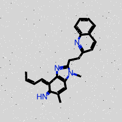 C/C=C\C=C1/C(=N)C(C)=Cc2c1nc(CCc1ccc3ccccc3n1)n2C